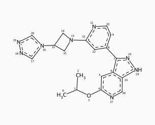 CC(C)Oc1cc2c(-c3ccnc(N4CC(n5cnnc5)C4)c3)n[nH]c2cn1